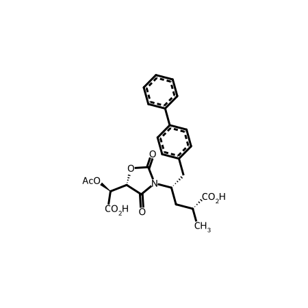 CC(=O)O[C@H](C(=O)O)[C@@H]1OC(=O)N([C@H](Cc2ccc(-c3ccccc3)cc2)C[C@@H](C)C(=O)O)C1=O